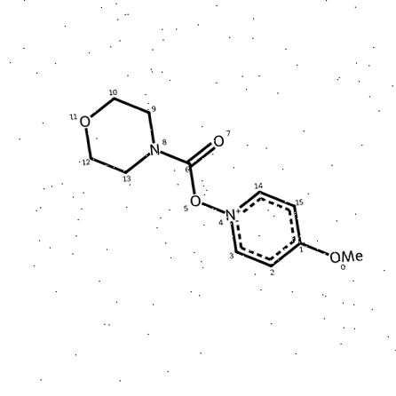 COc1cc[n+](OC(=O)N2CCOCC2)cc1